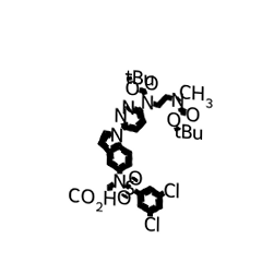 CN(CCN(C(=O)OC(C)(C)C)c1ccc(-n2ccc3cc(N(CC(=O)O)S(=O)(=O)c4cc(Cl)cc(Cl)c4)ccc32)nn1)C(=O)OC(C)(C)C